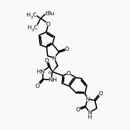 CC(C)(C)C(C)(C)Oc1ccc2c(c1)C(=O)N(C[C@@]1(c3cc4cc(N5C(=O)CNC5=O)ccc4o3)NC(=O)NC1=O)C2